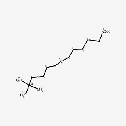 CCCCCCCCCCCCCCCCCCCCC(C)(C)C(C)(C)C